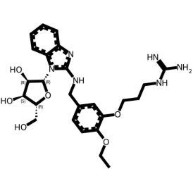 CCOc1ccc(CNc2nc3ccccc3n2[C@@H]2O[C@H](CO)[C@@H](O)[C@H]2O)cc1OCCCNC(=N)N